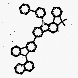 CC1(C)c2ccccc2-c2c1ccc1c3cc(-c4ccc5c(c4)-c4ccccc4C5c4cccc5ccccc45)ccc3n(-c3cccc(-c4ccccc4)c3)c21